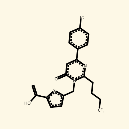 C=C(O)c1ccc(Cn2c(CCCC(F)(F)F)nc(-c3ccc(CC)cc3)cc2=O)s1